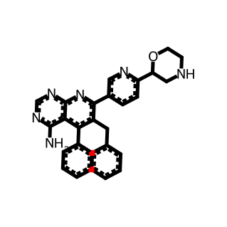 Nc1ncnc2nc(-c3ccc(C4CNCCO4)nc3)c(Cc3ccccc3)c(-c3ccccc3)c12